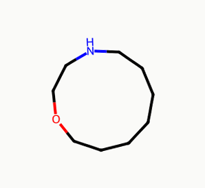 C1CCCNCCOCCC1